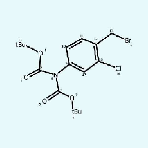 CC(C)(C)OC(=O)N(C(=O)OC(C)(C)C)c1ccc(CBr)c(Cl)c1